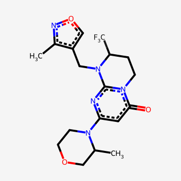 Cc1nocc1CN1c2nc(N3CCOCC3C)cc(=O)n2CCC1C(F)(F)F